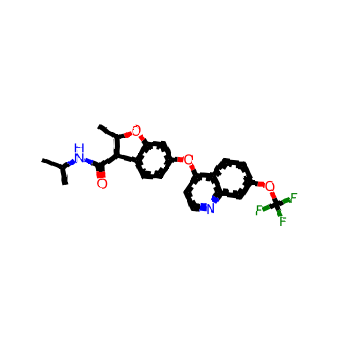 CC(C)NC(=O)C1c2ccc(Oc3ccnc4cc(OC(F)(F)F)ccc34)cc2OC1C